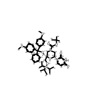 COc1ccc(C(OC[C@]2(CO[Si](C(C)C)(C(C)C)C(C)C)CN(C(=O)OC(C)(C)C)C[C@H](n3ccc(=O)[nH]c3=O)O2)(c2ccccc2)c2ccc(OC)cc2)cc1